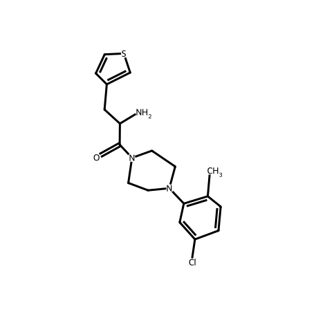 Cc1ccc(Cl)cc1N1CCN(C(=O)C(N)Cc2ccsc2)CC1